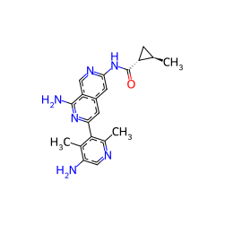 Cc1ncc(N)c(C)c1-c1cc2cc(NC(=O)[C@@H]3C[C@H]3C)ncc2c(N)n1